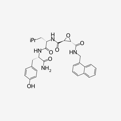 CC(C)C[C@H](NC(=O)[C@H]1O[C@@H]1C(=O)NCc1cccc2ccccc12)C(=O)N[C@@H](Cc1ccc(O)cc1)C(N)=O